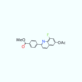 COC(=O)c1ccc(-c2ccc3cc(OC(C)=O)cc(F)c3n2)cc1